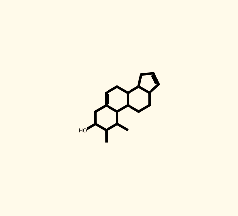 CC1C(O)CC2=CCC3C4CC=CC4CCC3C2C1C